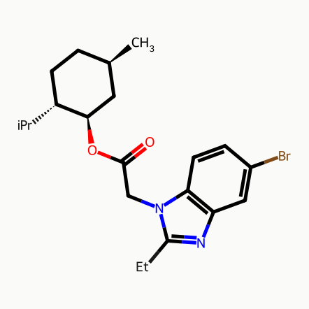 CCc1nc2cc(Br)ccc2n1CC(=O)O[C@@H]1C[C@H](C)CC[C@H]1C(C)C